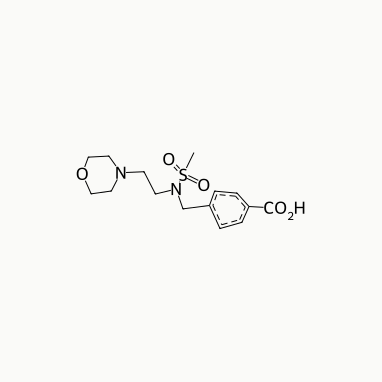 CS(=O)(=O)N(CCN1CCOCC1)Cc1ccc(C(=O)O)cc1